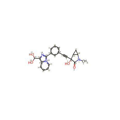 CN1C(=O)C(O)(C#Cc2cccc(-c3nc(C(O)O)c4ccccn34)c2)C2CC21